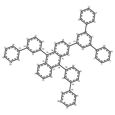 c1ccc(-c2cc(-c3ccccc3)cc(-c3ccc4c(-c5cccc(-c6cccnc6)c5)c5ccccc5c(-c5cccc(-c6cccnc6)c5)c4c3)c2)cc1